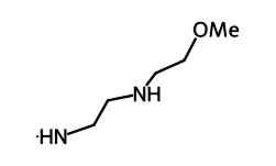 COCCNCC[NH]